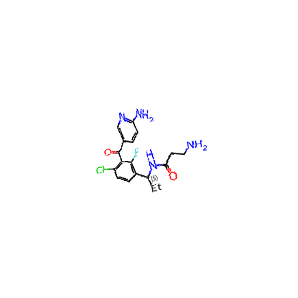 CC[C@H](NC(=O)CCN)c1ccc(Cl)c(C(=O)c2ccc(N)nc2)c1F